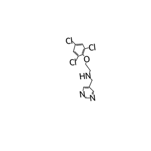 Clc1cc(Cl)c(OCCNCc2cncnc2)c(Cl)c1